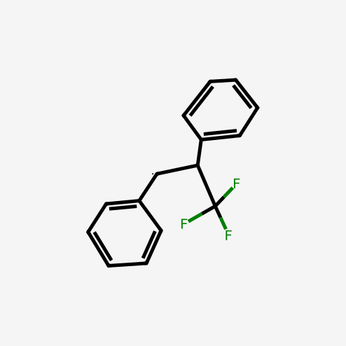 FC(F)(F)C([CH]c1ccccc1)c1ccccc1